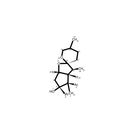 CC(=O)[C@]1(C)[C@@H]2[C@H](C[C@]1(O)C(C)C)O[C@]1(CCC(C)CO1)[C@H]2C